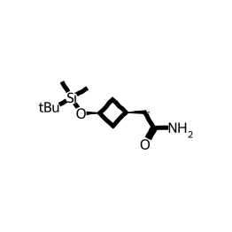 CC(C)(C)[Si](C)(C)O[C@H]1C[C@@H]([CH]C(N)=O)C1